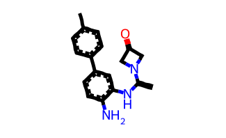 C=C(Nc1cc(-c2ccc(C)cc2)ccc1N)N1CC(=O)C1